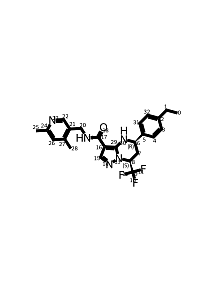 CCc1ccc([C@H]2C[C@@H](C(F)(F)F)n3ncc(C(=O)NCc4cnc(C)cc4C)c3N2)cc1